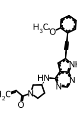 C=CC(=O)N1CC[C@@H](Nc2ncnc3[nH]c(C#Cc4ccccc4OC)cc23)C1